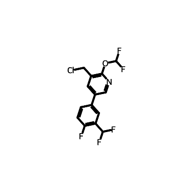 Fc1ccc(-c2cnc(OC(F)F)c(CCl)c2)cc1C(F)F